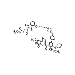 CCN(c1cc(-c2ccc(CN3CCN(CCCCCOc4cccc5c4C(=O)N(C(C=O)CCC(=O)NC)C5=O)CC3)cc2)cc(C(=O)NCc2c(C)cc(C)[nH]c2=O)c1C)C1CCOCC1